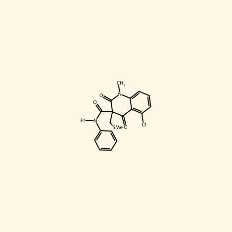 CCN(C(=O)C1(CSC)C(=O)c2c(Cl)cccc2N(C)C1=O)c1ccccc1